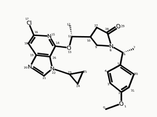 COc1ccc([C@@H](C)N2CC([C@@H](C)Oc3nc(Cl)cc4ncn(C5CC5)c34)CC2=O)cc1